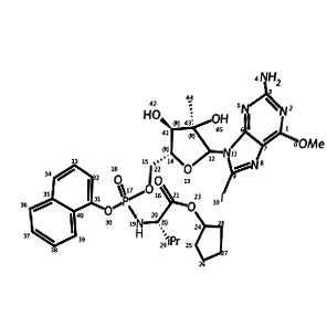 COc1nc(N)nc2c1nc(I)n2C1O[C@H](COP(=O)(N[C@H](C(=O)OC2CCCC2)C(C)C)Oc2cccc3ccccc23)[C@@H](O)[C@@]1(C)O